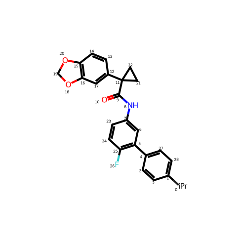 CC(C)c1ccc(-c2cc(NC(=O)C3(c4ccc5c(c4)OCO5)CC3)ccc2F)cc1